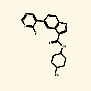 NC1CCC(NC(=O)c2c[nH]c3ccc(-c4cccnc4F)cc23)CC1